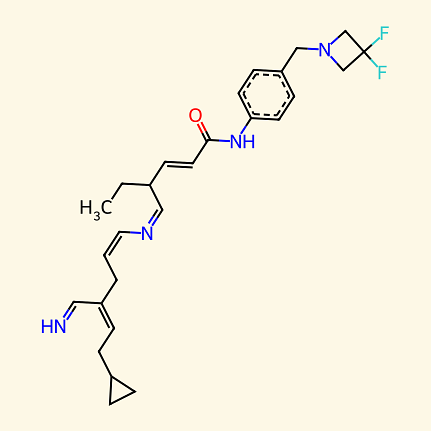 CCC(/C=N\C=C/C/C(C=N)=C/CC1CC1)/C=C/C(=O)Nc1ccc(CN2CC(F)(F)C2)cc1